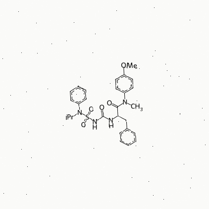 COc1ccc(N(C)C(=O)C(Cc2ccccc2)NC(=O)NS(=O)(=O)N(c2ccccc2)C(C)C)cc1